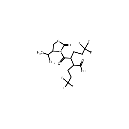 CC(C)C1COC(=O)N1C(=O)C(CCC(F)(F)F)C(CCC(F)(F)F)C(=O)O